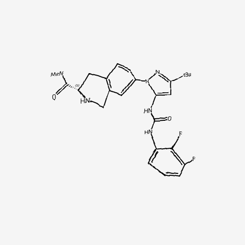 CNC(=O)[C@@H]1Cc2ccc(-n3nc(C(C)(C)C)cc3NC(=O)Nc3cccc(F)c3F)cc2CN1